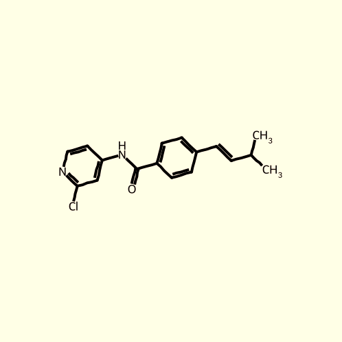 CC(C)/C=C/c1ccc(C(=O)Nc2ccnc(Cl)c2)cc1